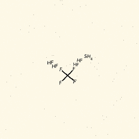 F.F.F.F.FC(F)(F)F.[SiH4]